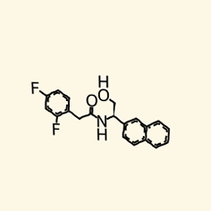 O=C(Cc1ccc(F)cc1F)N[C@@H](CO)c1ccc2ccccc2c1